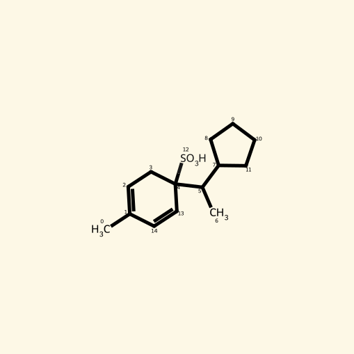 CC1=CCC(C(C)C2CCCC2)(S(=O)(=O)O)C=C1